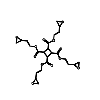 O=C(OCCC1CO1)C1C(C(=O)OCCC2CO2)C(C(=O)OCCC2CO2)C1C(=O)OCCC1CO1